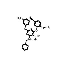 COc1ccc(C#N)cc1Oc1nc(Oc2cccc(C)c2)nc(NCc2ccccc2)c1[N+](=O)[O-]